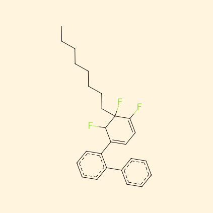 CCCCCCCCC1(F)C(F)=CC=C(c2ccccc2-c2ccccc2)C1F